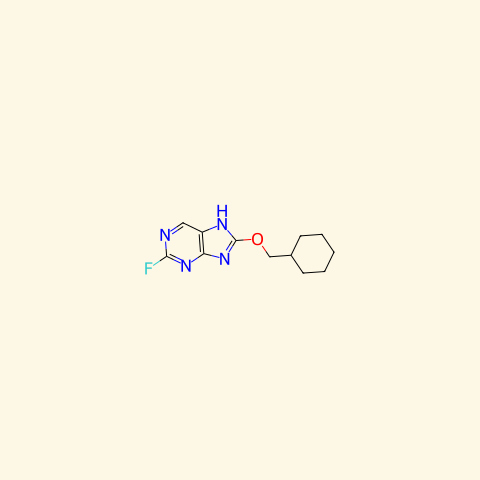 Fc1ncc2[nH]c(OCC3CCCCC3)nc2n1